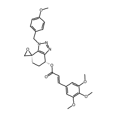 COc1ccc(Cn2nnc3c2[C@@]2(CC[C@H]3OC(=O)/C=C/c3cc(OC)c(OC)c(OC)c3)CO2)cc1